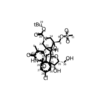 Cc1cn([C@@]2([C@@H]3O[C@@]4(COS(C)(=O)=O)CN(C(=O)OC(C)(C)C)C[C@@H]3[C@@H]4OCc3ccc(Cl)cc3)C[C@H](O)[C@@H](CO)O2)c(=O)[nH]c1=O